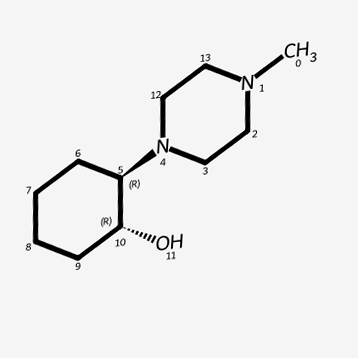 CN1CCN([C@@H]2CCCC[C@H]2O)CC1